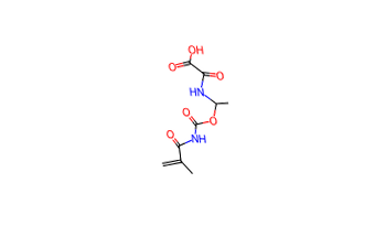 C=C(C)C(=O)NC(=O)OC(C)NC(=O)C(=O)O